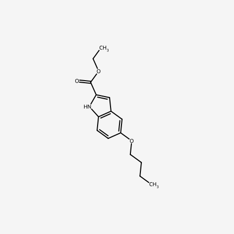 CCCCOc1ccc2[nH]c(C(=O)OCC)cc2c1